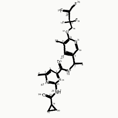 Cc1cc(C(=O)NC(C)c2cnc(OCC(F)(F)C(F)F)c(C)c2)nc(NC(=O)C2CC2)n1